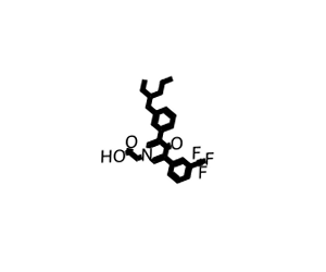 CCCC(CC)Cc1cccc(-c2cn(CC(=O)O)cc(-c3cccc(C(F)(F)F)c3)c2=O)c1